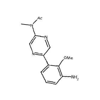 COc1c(N)cccc1-c1cnc(N(C)C(C)=O)cn1